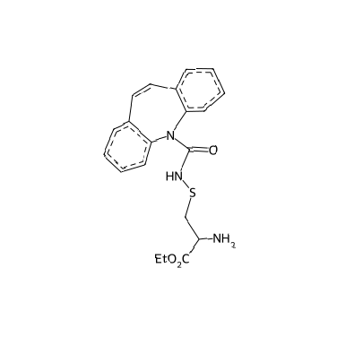 CCOC(=O)C(N)CSNC(=O)N1c2ccccc2C=Cc2ccccc21